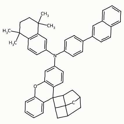 CC1(C)CCC(C)(C)c2cc(N(c3ccc(-c4ccc5ccccc5c4)cc3)c3ccc4c(c3)Oc3ccccc3C43C4CC5CC6CC3C64C5)ccc21